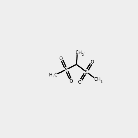 [CH2]C(S(C)(=O)=O)S(C)(=O)=O